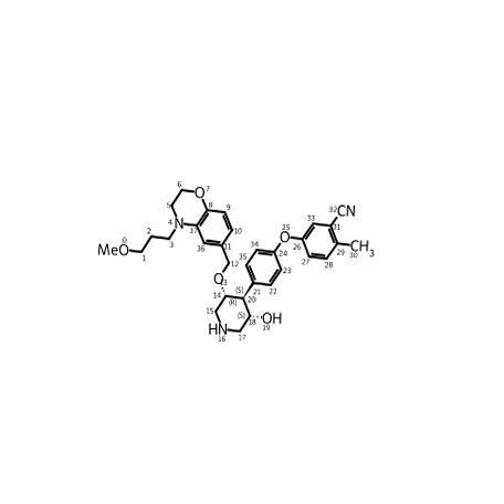 COCCCN1CCOc2ccc(CO[C@H]3CNC[C@@H](O)[C@@H]3c3ccc(Oc4ccc(C)c(C#N)c4)cc3)cc21